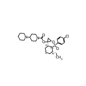 CC[C@@H]1CSC[C@H](C2(OC(=O)N3CCC(N4CCCCC4)CC3)CC2)N1S(=O)(=O)c1ccc(Cl)cc1